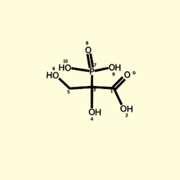 O=C(O)C(O)(CO)P(=O)(O)O